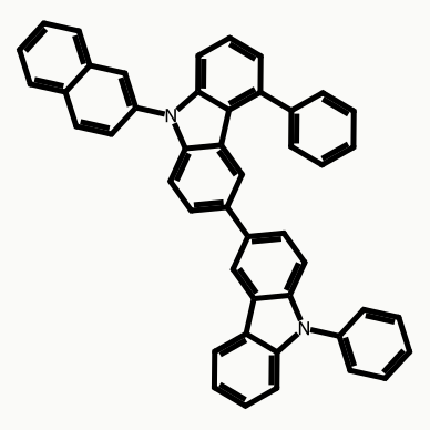 c1ccc(-c2cccc3c2c2cc(-c4ccc5c(c4)c4ccccc4n5-c4ccccc4)ccc2n3-c2ccc3ccccc3c2)cc1